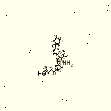 CC(=O)c1c(-c2ccc(Oc3ccccc3)cc2)nn([C@@H]2CCN(C/C=C/C(=O)O)C2)c1N